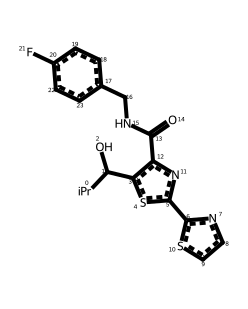 CC(C)C(O)c1sc(-c2nccs2)nc1C(=O)NCc1ccc(F)cc1